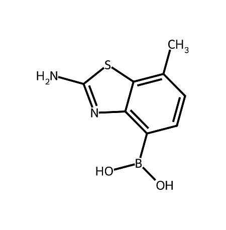 Cc1ccc(B(O)O)c2nc(N)sc12